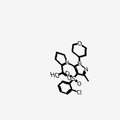 Cc1nn(C2CCOCC2)c(N2CCCC2C(=O)O)c1S(=O)(=O)c1ccccc1Cl